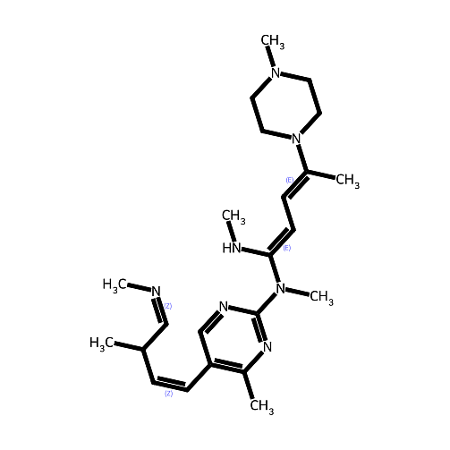 C/N=C\C(C)/C=C\c1cnc(N(C)/C(=C/C=C(\C)N2CCN(C)CC2)NC)nc1C